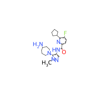 Cn1ncc(NC(=O)c2ccc(F)c(C3CCCC3)n2)c1N1CCCC(N)CC1